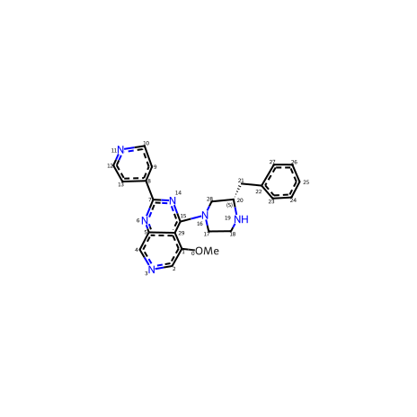 COc1cncc2nc(-c3ccncc3)nc(N3CCN[C@@H](Cc4ccccc4)C3)c12